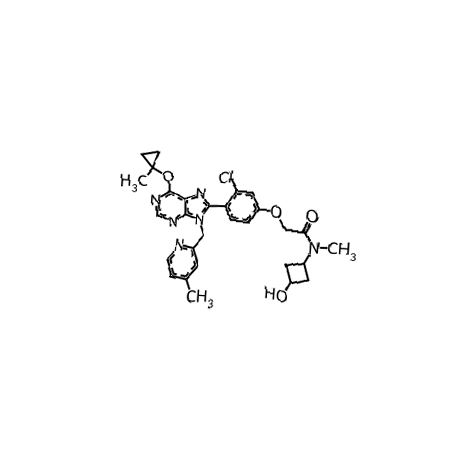 Cc1ccnc(Cn2c(-c3ccc(OCC(=O)N(C)C4CC(O)C4)cc3Cl)nc3c(OC4(C)CC4)ncnc32)c1